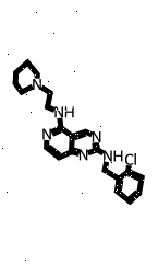 Clc1ccccc1CNc1ncc2c(NCCN3CCCCC3)nccc2n1